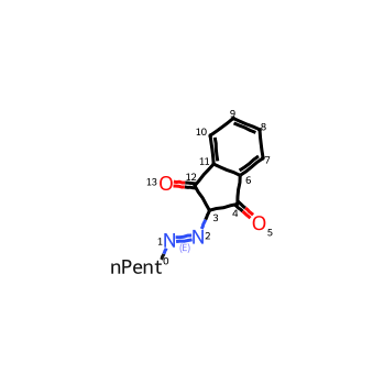 CCCCC/N=N/C1C(=O)c2ccccc2C1=O